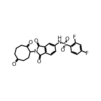 O=C1CCCC(=O)C(N2C(=O)c3ccc(NS(=O)(=O)c4ccc(F)cc4F)cc3C2=O)CC1